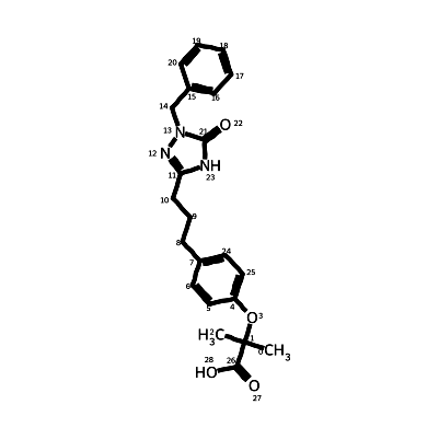 CC(C)(Oc1ccc(CCCc2nn(Cc3ccccc3)c(=O)[nH]2)cc1)C(=O)O